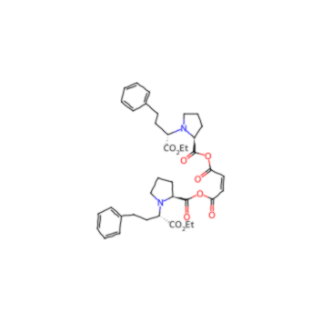 CCOC(=O)[C@H](CCc1ccccc1)N1CCC[C@H]1C(=O)OC(=O)/C=C\C(=O)OC(=O)[C@@H]1CCCN1[C@@H](CCc1ccccc1)C(=O)OCC